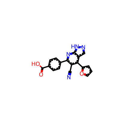 N#Cc1c(-c2ccc(C(=O)O)cc2)nc2[nH]ncc2c1-c1ccco1